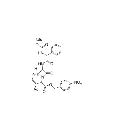 CC(=O)C1=CS[C@H]2C(NC(=O)C(NC(=O)OC(C)(C)C)c3ccccc3)C(=O)N2C1C(=O)OCc1ccc([N+](=O)[O-])cc1